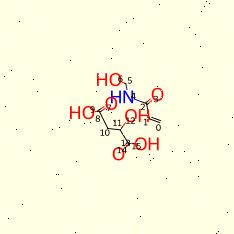 C=CC(=O)NCO.O=C(O)CC(O)C(=O)O